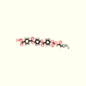 C=CC(=O)COC(=O)Oc1ccc(C(=O)Oc2ccc(OC(=O)C3CCC(C(=O)O)CC3)cc2)cc1